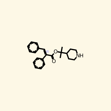 CC(C)(OC(=O)/C(=C/c1ccccc1)c1ccccc1)C1CCNCC1